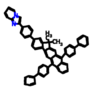 CC1(C)c2cc(-c3ccc(-c4cn5ccccc5n4)cc3)ccc2-c2cc3c(-c4ccc(-c5ccccc5)cc4)c4ccccc4c(-c4ccc(-c5ccccc5)cc4)c3cc21